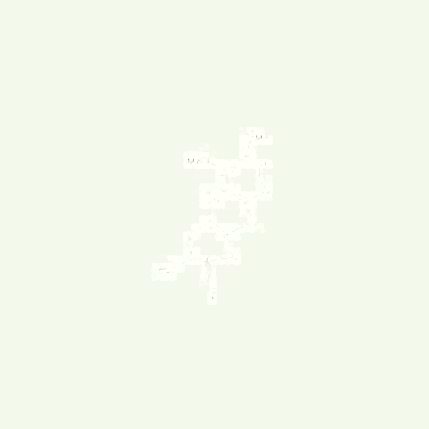 COc1ccc(CC(CC(=O)OC(C)(C)C)C(C)O)cc1OC